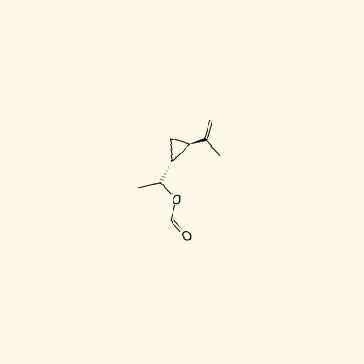 C=C(C)[C@@H]1C[C@H]1C(C)OC=O